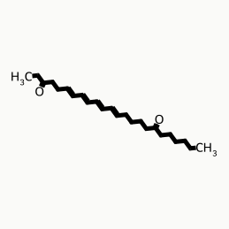 CCCCCCC(=O)CCCCC=CC=CC=CC=CCCC(=O)CC